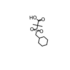 CC(C)(C(=O)O)S(=O)(=O)CC1CCCCC1